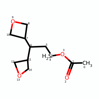 CC(=O)O[SiH2]CC(C1COC1)C1COC1